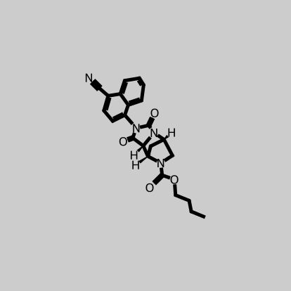 CCCCOC(=O)N1C[C@@H]2C[C@H]1[C@@H]1C(=O)N(c3ccc(C#N)c4ccccc34)C(=O)N21